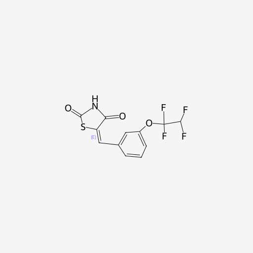 O=C1NC(=O)/C(=C\c2cccc(OC(F)(F)C(F)F)c2)S1